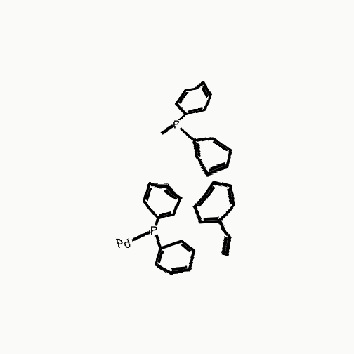 C=Cc1ccccc1.CP(c1ccccc1)c1ccccc1.CP(c1ccccc1)c1ccccc1.[Pd]